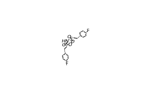 O=S(=O)(/C=C/c1ccc(F)cc1)NS(=O)(=O)/C=C/c1ccc(F)cc1